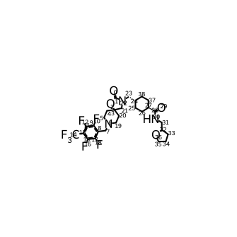 O=C1OC2(CCN(Cc3c(F)c(F)c(C(F)(F)F)c(F)c3F)CC2)CN1C[C@H]1CC[C@H](C(=O)NCC2CCCO2)CC1